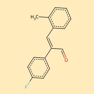 Cc1ccccc1C=C(C=O)c1ccc(F)cc1